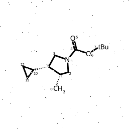 C[C@H]1CN(C(=O)OC(C)(C)C)C[C@H]1C1CC1